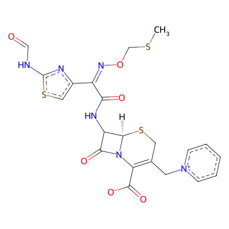 CSCO/N=C(\C(=O)NC1C(=O)N2C(C(=O)[O-])=C(C[n+]3ccccc3)CS[C@H]12)c1csc(NC=O)n1